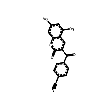 N#Cc1ccc(C(=O)c2cc3c(O)cc(O)cc3oc2=O)cc1